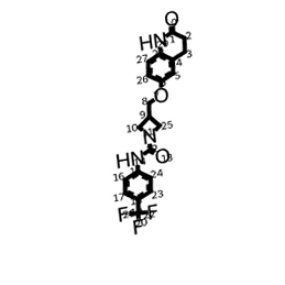 O=C1CCc2cc(OCC3CN(C(=O)Nc4ccc(C(F)(F)F)cc4)C3)ccc2N1